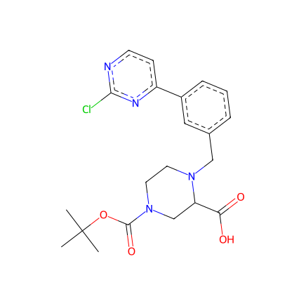 CC(C)(C)OC(=O)N1CCN(Cc2cccc(-c3ccnc(Cl)n3)c2)C(C(=O)O)C1